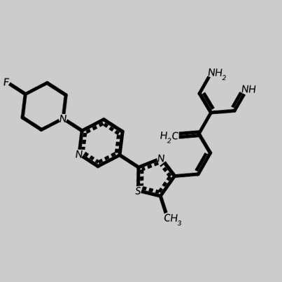 C=C(/C=C\c1nc(-c2ccc(N3CCC(F)CC3)nc2)sc1C)/C(C=N)=C/N